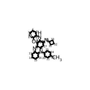 COc1ncccc1Nc1cc2nc3ccccc3n(-c3ccc(C)cc3)c-2c/c1=N\C1CCC1